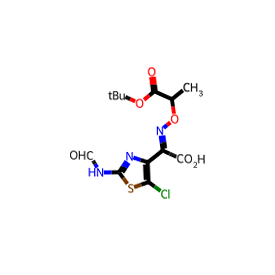 CC(ON=C(C(=O)O)c1nc(NC=O)sc1Cl)C(=O)OC(C)(C)C